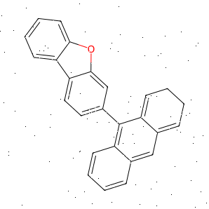 C1=c2cc3ccccc3c(-c3ccc4c(c3)oc3ccccc34)c2=CCC1